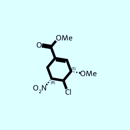 COC(=O)C1=C[C@H](OC)C(Cl)[C@H]([N+](=O)[O-])C1